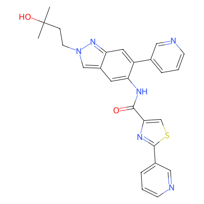 CC(C)(O)CCn1cc2cc(NC(=O)c3csc(-c4cccnc4)n3)c(-c3cccnc3)cc2n1